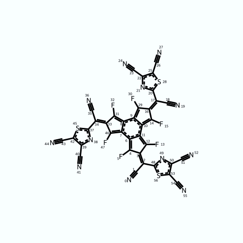 N#CC(=C1C(F)=c2c3c(c4c(c2=C1F)=C(F)C(=C(C#N)c1nc(C#N)c(C#N)s1)C=4F)=C(F)C(=C(C#N)c1nc(C#N)c(C#N)s1)C=3F)c1nc(C#N)c(C#N)s1